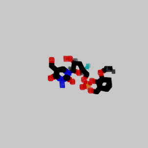 COc1cccc2c1OP(=O)(OC[C@]1(F)C[C@@H](O)[C@H](n3cc(C=O)c(=O)[nH]c3=O)O1)OC2